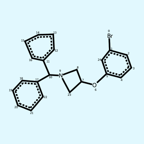 Brc1cccc(OC2CN(C(c3ccccc3)c3ccccc3)C2)c1